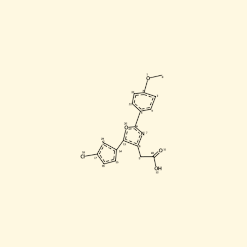 COc1ccc(-c2nc(CC(=O)O)c(-c3ccc(Cl)s3)o2)cc1